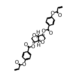 C=CC(=O)Oc1ccc(C(=O)O[C@@H]2CO[C@H]3[C@@H]2OC[C@H]3OC(=O)c2ccc(OC(=O)C=C)cc2)cc1